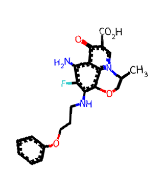 CC1COc2c(NCCCOc3ccccc3)c(F)c(N)c3c(=O)c(C(=O)O)cn1c23